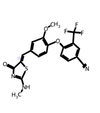 CNC1=NC(=O)/C(=C/c2ccc(Oc3ccc(C#N)cc3C(F)(F)F)c(OC)c2)S1